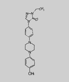 CCn1ncn(-c2ccc(N3CCN(c4ccc(O)cc4)CC3)cc2)c1=O